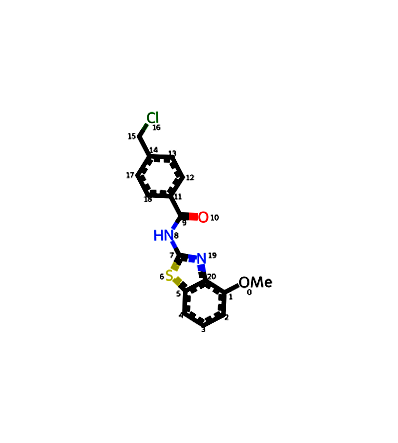 COc1cccc2sc(NC(=O)c3ccc(CCl)cc3)nc12